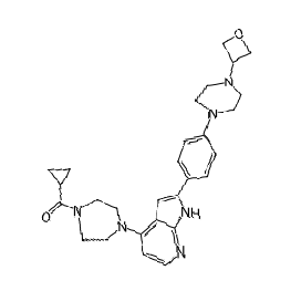 O=C(C1CC1)N1CCN(c2ccnc3[nH]c(-c4ccc(N5CCN(C6COC6)CC5)cc4)cc23)CC1